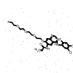 C=CC(=O)Nc1cc2c(Nc3cc(Cl)c(Cl)cc3F)ncnc2cc1OCCOCCOCCOCCF